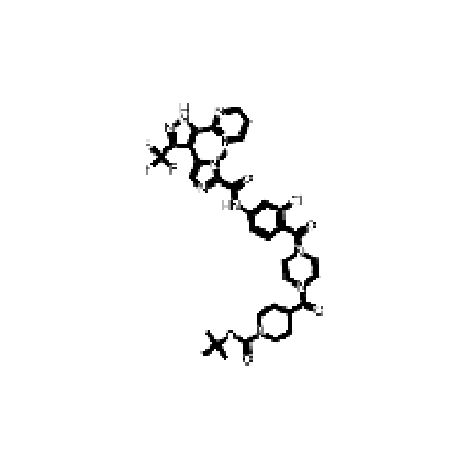 Cn1c(-c2c(C(F)(F)F)n[nH]c2-c2ncccn2)cnc1C(=O)Nc1ccc(C(=O)N2CCN(C(=O)C3CCN(C(=O)OC(C)(C)C)CC3)CC2)c(Cl)c1